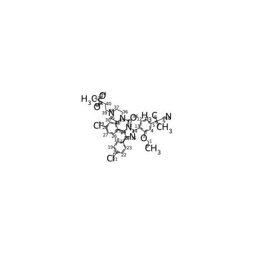 CCOc1cc(C(C)(C)C#N)ccc1C1=N[C@@H](c2ccc(Cl)cc2)[C@@H](c2ccc(Cl)cc2)N1C(=O)N1CCN(CCS(C)(=O)=O)CC1